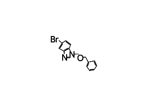 Brc1ccc2c(c1)ncn2COCc1ccccc1